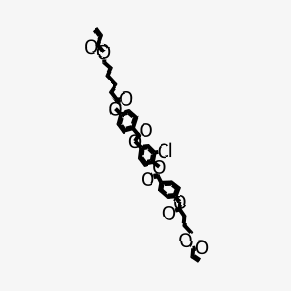 C=CC(=O)OCCCCCC(=O)Oc1ccc(C(=O)Oc2ccc(OC(=O)c3ccc(OC(=O)CCCOC(=O)C=C)cc3)c(Cl)c2)cc1